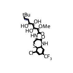 CO[C@@H](C(=O)N[C@H]1CSC2C(Cl)=CC(C(F)(F)F)=CC2NC1=O)[C@H](O)[C@@H](O)[C@H](O)/C=C/C(C)(C)C